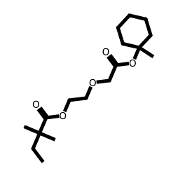 CCC(C)(C)C(=O)OCCOCC(=O)OC1(C)CCCCC1